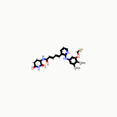 COc1cc(Nc2ncccc2/C=C/C=C/C(=O)NC2CCC(=O)NC2=O)cc(OCS)c1OC